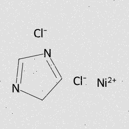 C1=NC=NC1.[Cl-].[Cl-].[Ni+2]